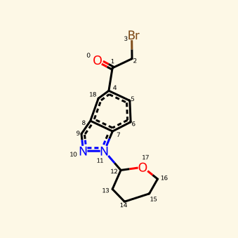 O=C(CBr)c1ccc2c(cnn2C2CCCCO2)c1